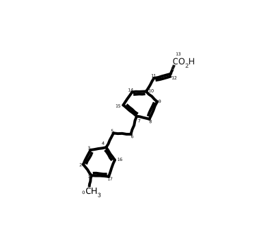 Cc1ccc(CCc2ccc(C=CC(=O)O)cc2)cc1